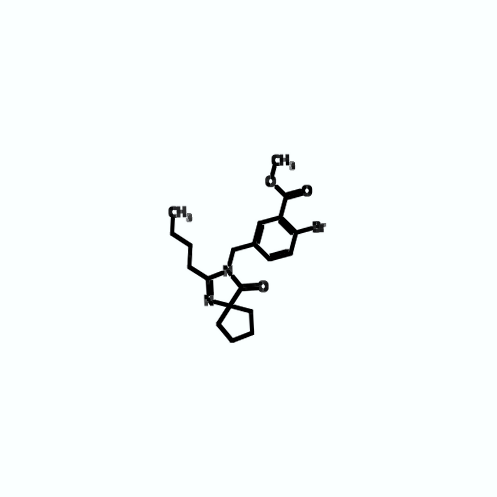 CCCCC1=NC2(CCCC2)C(=O)N1Cc1ccc(Br)c(C(=O)OC)c1